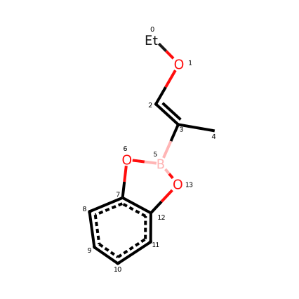 CCOC=C(C)B1Oc2ccccc2O1